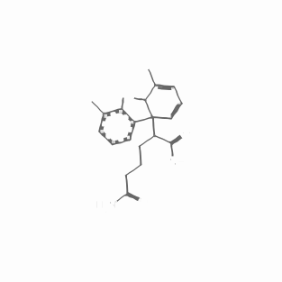 CC1=CC=CC(c2cccc(C)c2C)(C(CCCC(N)=O)C(N)=O)C1C